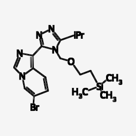 CC(C)c1nnc(-c2ncn3cc(Br)ccc23)n1COCC[Si](C)(C)C